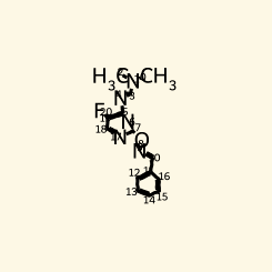 CN(C)C=Nc1nc(ON=Cc2ccccc2)ncc1F